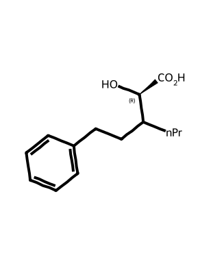 CCCC(CCc1ccccc1)[C@@H](O)C(=O)O